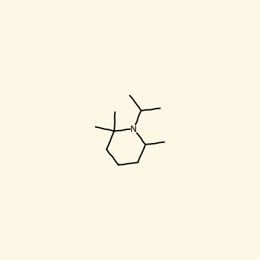 CC(C)N1C(C)CCCC1(C)C